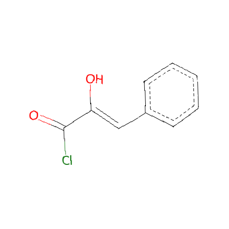 O=C(Cl)C(O)=Cc1ccccc1